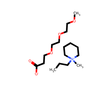 CCC[N+]1(C)CCCCC1.COCCOCCOCCC(=O)[O-]